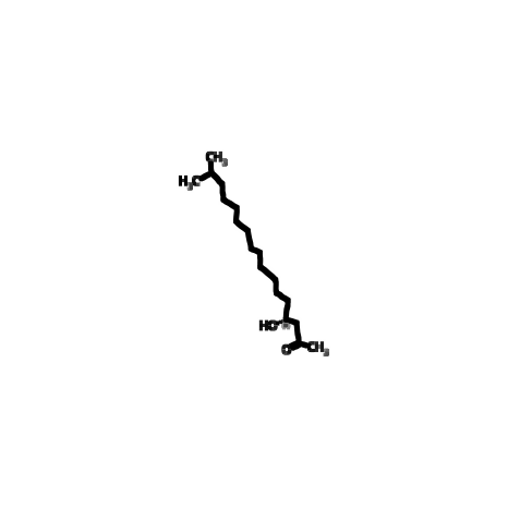 CC(=O)C[C@H](O)CCCCCCCCCCCC(C)C